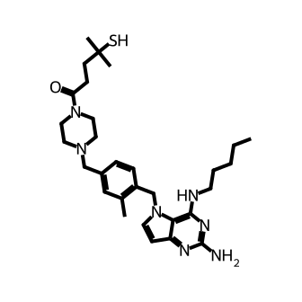 CCCCCNc1nc(N)nc2ccn(Cc3ccc(CN4CCN(C(=O)CCC(C)(C)S)CC4)cc3C)c12